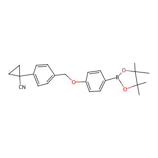 CC1(C)OB(c2ccc(OCc3ccc(C4(C#N)CC4)cc3)cc2)OC1(C)C